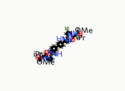 COC(=O)N[C@H](C(=O)N1C[C@H](F)C[C@H]1c1ncc(-c2ccc(-c3ccc4nc([C@@H]5CCCN5C(=O)[C@@H](NC(=O)OC)C(C)C)[nH]c4c3)cc2)[nH]1)C(C)C